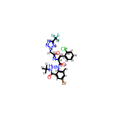 Cc1cc(Br)cc(C(=O)NC(C)(C)C)c1NC(=O)c1nc(Cn2nnc(C(F)(F)F)n2)oc1-c1ccccc1Cl